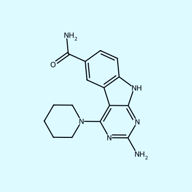 NC(=O)c1ccc2[nH]c3nc(N)nc(N4CCCCC4)c3c2c1